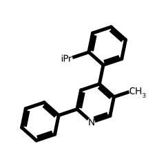 Cc1cnc(-c2ccccc2)cc1-c1ccccc1C(C)C